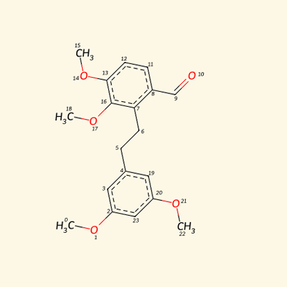 COc1cc(CCc2c(C=O)ccc(OC)c2OC)cc(OC)c1